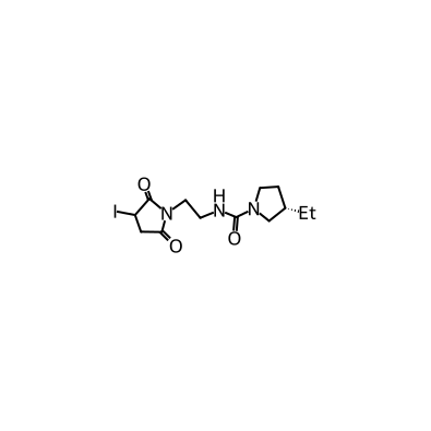 CC[C@H]1CCN(C(=O)NCCN2C(=O)CC(I)C2=O)C1